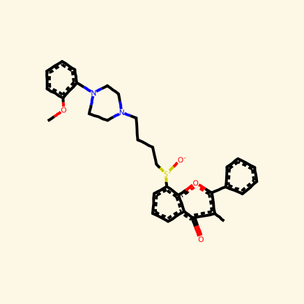 COc1ccccc1N1CCN(CCCC[S+]([O-])c2cccc3c(=O)c(C)c(-c4ccccc4)oc23)CC1